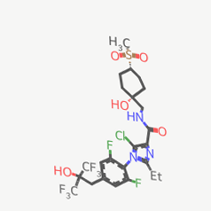 CCc1nc(C(=O)NC[C@]2(O)CC[C@@H](S(C)(=O)=O)CC2)c(Cl)n1-c1c(F)cc(CC(O)(C(F)(F)F)C(F)(F)F)cc1F